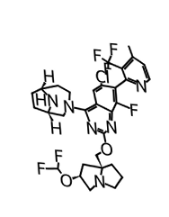 Cc1ccnc(-c2c(Cl)cc3c(N4CC[C@H]5CC[C@@H](C4)N5)nc(OC[C@@]45CCCN4C[C@@H](OC(F)F)C5)nc3c2F)c1C(F)(F)F